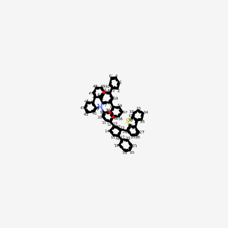 c1ccc(-c2ccc(N(c3ccc(-c4ccc(-c5ccccc5)c(-c5cccc6c5sc5ccccc56)c4)cc3)c3ccccc3-c3ccccc3)c(-c3ccccc3)c2)cc1